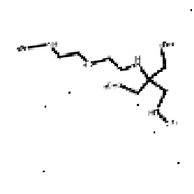 CCCCCCCCCCCC(CCCCCCCCCCC)(CNCCC)NCCNCCNCCC